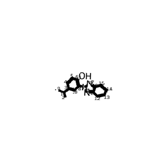 [CH2]C(C)c1ccc(O)c(-n2nc3ccccc3n2)c1